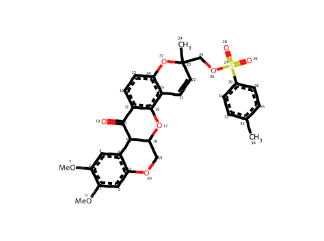 COc1cc2c(cc1OC)C1C(=O)c3ccc4c(c3OC1CO2)C=CC(C)(COS(=O)(=O)c1ccc(C)cc1)O4